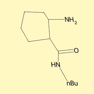 CCCCNC(=O)C1CCCCC1N